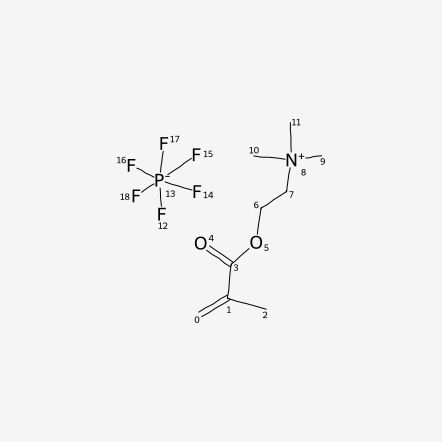 C=C(C)C(=O)OCC[N+](C)(C)C.F[P-](F)(F)(F)(F)F